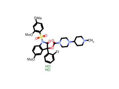 CCc1ccccc1C1(OC(=O)N2CCN(C3CCN(C)CC3)CC2)C(=O)N(S(=O)(=O)c2ccc(OC)cc2OC)c2ccc(OC)cc21.Cl.Cl